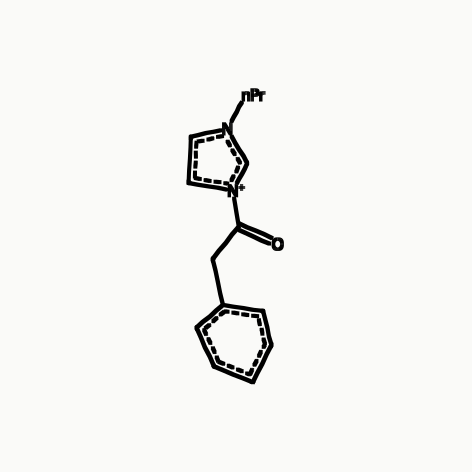 CCCn1cc[n+](C(=O)Cc2ccccc2)c1